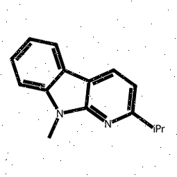 CC(C)c1ccc2c3ccccc3n(C)c2n1